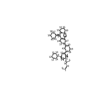 C/C=C\C=C(/C)c1nc(-c2ccccc2)cc(-c2cccc(-c3ccc4c(c3)Oc3ccccc3N4c3ccccc3)c2)n1